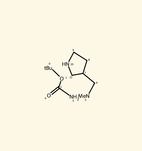 CC(C)(C)OC(N)=O.CNCC1CCNC1